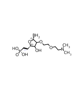 B[C@@H]1O[C@H](/C=C/P(=O)(O)O)C(O)C1OCCOCCN(C)C